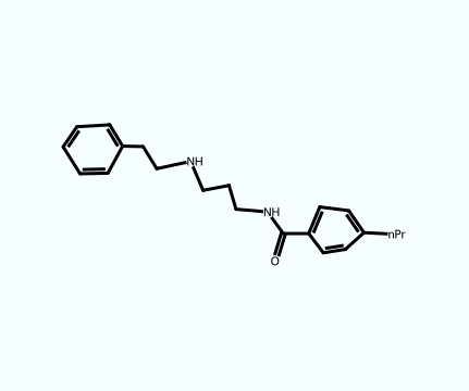 CCCc1ccc(C(=O)NCCCNCCc2ccccc2)cc1